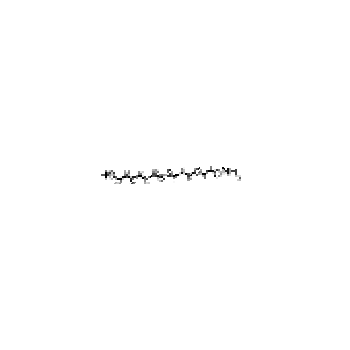 NOCCOCCCSSCCCOCCO